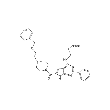 CC(=O)NCCNc1nc(-c2ccccc2)nc2[nH]c(C(=O)N3CCC(CCOCc4ccccc4)CC3)cc12